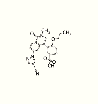 CCCOc1ccc(S(C)(=O)=O)cc1-c1cn(C)c(=O)c2ccc(-n3cc(C#N)cn3)cc12